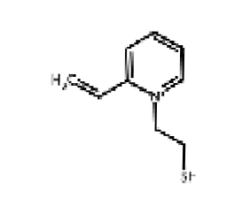 C=Cc1cccc[n+]1CCS